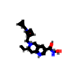 CC[C@@H]1Cc2ncc(C(=O)NO)cc2CN1CC12CC(C1)N(C1CC1)C2